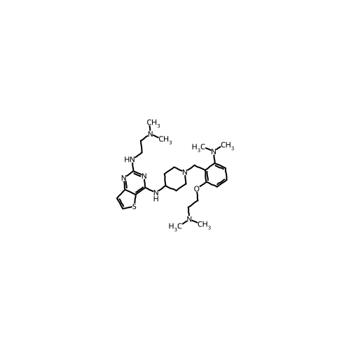 CN(C)CCNc1nc(NC2CCN(Cc3c(OCCN(C)C)cccc3N(C)C)CC2)c2sccc2n1